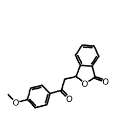 COc1ccc(C(=O)CC2OC(=O)c3ccccc32)cc1